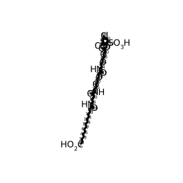 O=C(O)CCCCCCCCCCCCCCC(=O)NCCCC(=O)NCCOCCOCC(=O)NCCOCCOCC(=O)Oc1c(Cl)cc(Cl)cc1S(=O)(=O)O